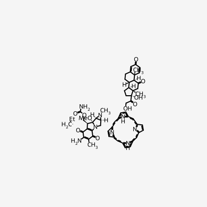 C1=Cc2cc3ccc(cc4nc(cc5ccc(cc1n2)[nH]5)C=C4)[nH]3.CO[C@@]12[C@H](COC(N)=O)C3=C(C(=O)C(C)=C(N)C3=O)N1C[C@H]1[C@@H]2N1C.C[C@]12C=CC(=O)C=C1CC[C@@H]1[C@@H]2C(=O)C[C@@]2(C)[C@H]1CC[C@]2(O)C(=O)CO.[CH2]CC